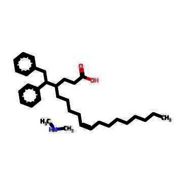 CCCCCCCC/C=C\CCCCC(CCC(=O)O)C(Cc1ccccc1)c1ccccc1.CNC